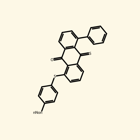 CCCCCCCCCc1ccc(Sc2cccc3c2C(=O)c2cccc(-c4ccccc4)c2C3=S)cc1